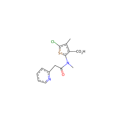 Cc1c(Cl)sc(N(C)C(=O)Cc2ccccn2)c1C(=O)O